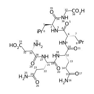 CC(C)C[C@H](NC(=O)[C@H](CC(C)C)NC(=O)[C@H](CCC(N)=O)NC(=O)[C@H](CCC(N)=O)NC(=O)[C@@H](N)CC(=O)O)C(=O)NCC(=O)O